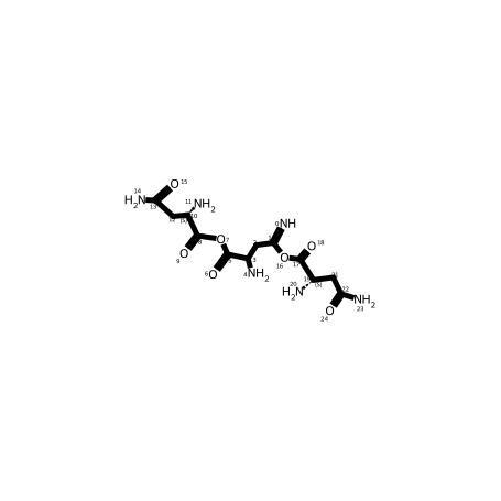 N=C(CC(N)C(=O)OC(=O)[C@@H](N)CC(N)=O)OC(=O)[C@@H](N)CC(N)=O